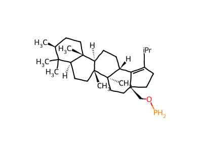 CC(C)C1=C2[C@H]3CC[C@@H]4[C@@]5(C)CC[C@H](C)C(C)(C)[C@@H]5CC[C@@]4(C)[C@]3(C)CC[C@@]2(COP)CC1